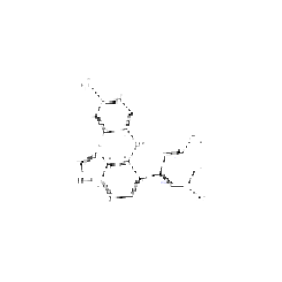 C/C=C/C(=C\N(C)C(C)=O)c1ccc2[nH]cnc2c1Oc1ccc(C(F)(F)F)nc1